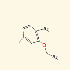 CC(=O)COc1cc(C)ccc1C(C)=O